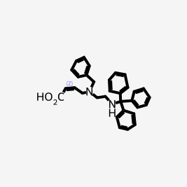 O=C(O)/C=C\CN(CCNC(c1ccccc1)(c1ccccc1)c1ccccc1)Cc1ccccc1